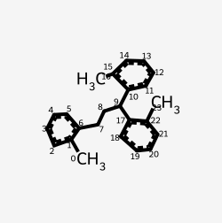 Cc1ccccc1CC[C](c1ccccc1C)c1ccccc1C